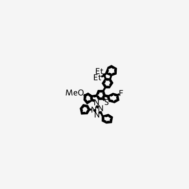 CCC1(CC)c2ccccc2-c2ccc(-c3cc4c5cc(OC)ccc5n(-c5nc(-c6ccccc6)nn5-c5ccccc5)c4c4sc5ccc(F)cc5c34)cc21